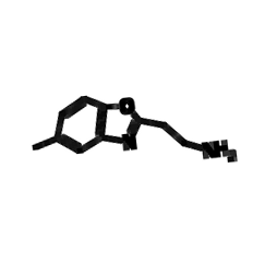 Cc1ccc2oc(CCN)nc2c1